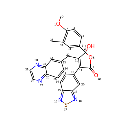 COc1ccc(C2(O)OC(=O)C(c3ccc4nsnc4c3)=C2Cc2ccc3nccnc3c2)cc1C